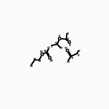 CC(=O)OC(C)C.CCC(C)=O.CCCOC(C)=O